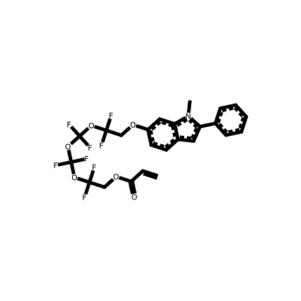 C=CC(=O)OCC(F)(F)OC(F)(F)OC(F)(F)OC(F)(F)COc1ccc2cc(-c3ccccc3)n(C)c2c1